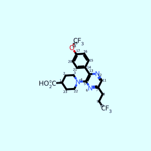 O=C(O)C1CCN(c2nc(CCC(F)(F)F)cnc2-c2ccc(OC(F)(F)F)cc2)CC1